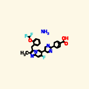 Cc1nc2cc(F)c(-c3cnc(C4CC5CCC4CC5C(=O)O)nc3)cn2c1Cc1ccccc1OC(F)F.N